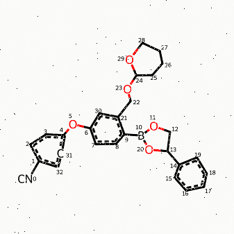 [C-]#[N+]c1ccc(Oc2ccc(B3OCC(c4ccccc4)O3)c(COC3CCCCO3)c2)cc1